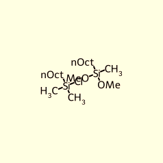 CCCCCCCC[Si](C)(C)Cl.CCCCCCCC[Si](C)(OC)OC